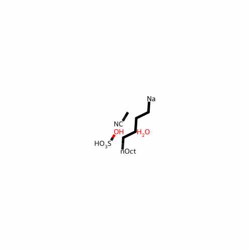 CC#N.CCCCCCCCCCC[CH2][Na].O.O=S(=O)(O)O